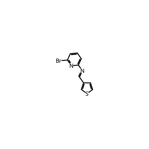 Brc1cccc(/N=C/c2ccsc2)n1